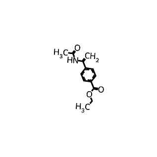 C=C(NC(C)=O)c1ccc(C(=O)OCC)cc1